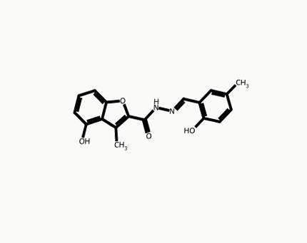 Cc1ccc(O)c(C=NNC(=O)c2oc3cccc(O)c3c2C)c1